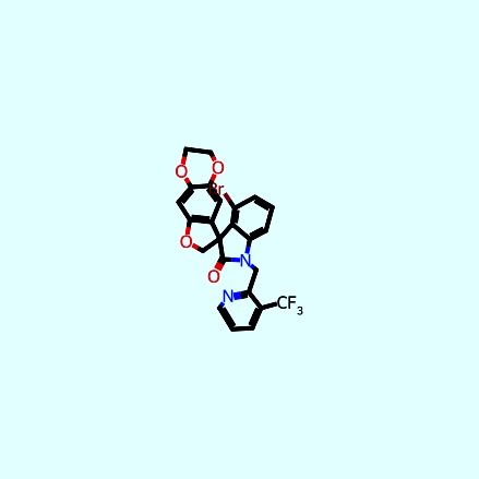 O=C1N(Cc2ncccc2C(F)(F)F)c2cccc(Br)c2C12COc1cc3c(cc12)OCCO3